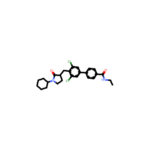 CCNC(=O)c1ccc(-c2cc(Cl)c(CC3CCN(C4CCCCC4)C3=O)c(Cl)c2)cc1